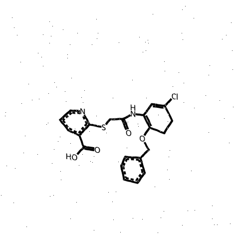 O=C(CSc1ncccc1C(=O)O)NC1=C(OCc2ccccc2)CCC(Cl)=C1